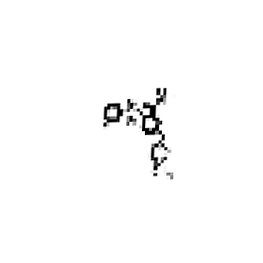 COc1cn(S(=O)(=O)c2cccc(Cl)c2)c2ccc(CN3CCN(C)CC3)cc12